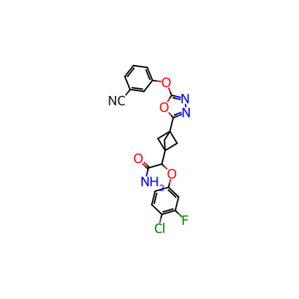 N#Cc1cccc(Oc2nnc(C34CC(C(Oc5ccc(Cl)c(F)c5)C(N)=O)(C3)C4)o2)c1